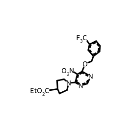 CCOC(=O)C1CCN(c2ncnc(OCc3cccc(C(F)(F)F)c3)c2[N+](=O)[O-])CC1